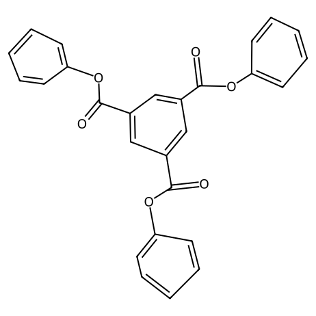 O=C(Oc1ccccc1)c1cc(C(=O)Oc2ccccc2)cc(C(=O)Oc2ccccc2)c1